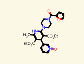 CCOC(=O)C1=C(C)NC(N2CCN(C(=O)c3ccco3)CC2)=C(C(=O)OCC)C1c1ccc[n+]([O-])c1